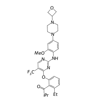 CCc1cccc(Oc2nc(Nc3ccc(N4CCN(C5COC5)CC4)cc3OC)ncc2C(F)(F)F)c1C(=O)C(C)C